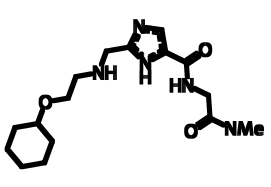 CNC(=O)CNC(=O)c1cnc(CNCCOC2CCCCC2)[nH]1